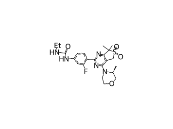 CCNC(=O)Nc1ccc(-c2nc(N3CCOC[C@@H]3C)c3c(n2)C(C)(C)S(=O)(=O)C3)c(F)c1